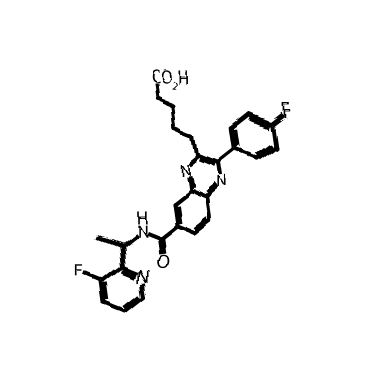 CC(NC(=O)c1ccc2nc(-c3ccc(F)cc3)c(CCCCC(=O)O)nc2c1)c1ncccc1F